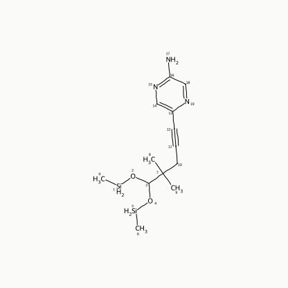 C[SiH2]OC(O[SiH2]C)C(C)(C)CC#Cc1cnc(N)cn1